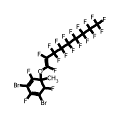 CC1(OC(F)=C(F)C(F)(F)C(F)(F)C(F)(F)C(F)(F)C(F)(F)C(F)(F)C(F)(F)F)C(F)=C(Br)C(F)=C(Br)C1F